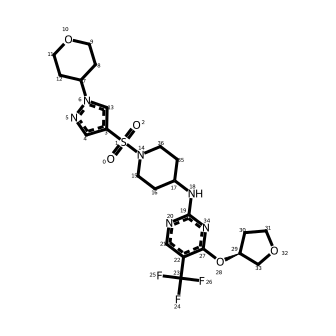 O=S(=O)(c1cnn(C2CCOCC2)c1)N1CCC(Nc2ncc(C(F)(F)F)c(O[C@H]3CCOC3)n2)CC1